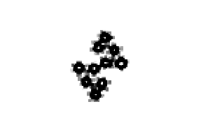 c1ccc(N(c2ccc(-c3ccc(N(c4ccccc4)c4cccc(-n5c6ccccc6c6ccccc65)c4)cc3)cc2)c2cccc(-n3c4ccccc4c4ccccc43)c2)cc1